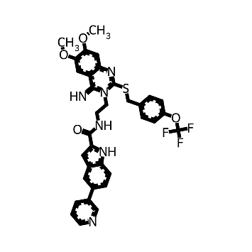 COc1cc2nc(SCc3ccc(OC(F)(F)F)cc3)n(CCNC(=O)c3cc4cc(-c5cccnc5)ccc4[nH]3)c(=N)c2cc1OC